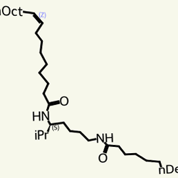 CCCCCCCC/C=C\CCCCCCCC(=O)N[C@@H](CCCCNC(=O)CCCCCCCCCCCCCCC)C(C)C